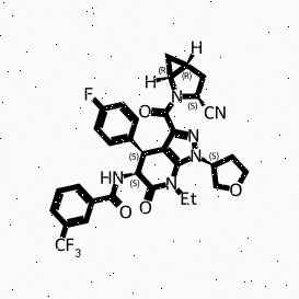 CCN1C(=O)[C@@H](NC(=O)c2cccc(C(F)(F)F)c2)[C@@H](c2ccc(F)cc2)c2c(C(=O)N3[C@H](C#N)C[C@H]4C[C@H]43)nn([C@H]3CCOC3)c21